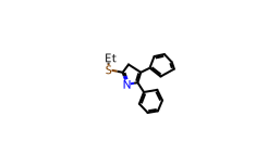 CCSC1=NC(c2ccccc2)=C(c2ccccc2)C1